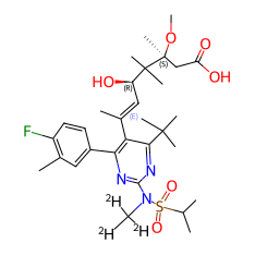 [2H]C([2H])([2H])N(c1nc(-c2ccc(F)c(C)c2)c(/C(C)=C/[C@@H](O)C(C)(C)[C@](C)(CC(=O)O)OC)c(C(C)(C)C)n1)S(=O)(=O)C(C)C